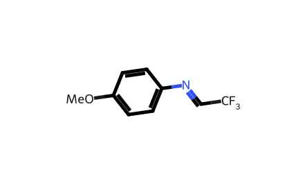 COc1ccc(/N=C/C(F)(F)F)cc1